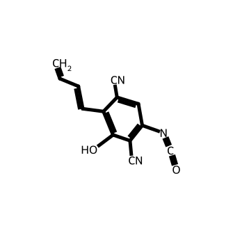 C=CC=Cc1c(C#N)cc(N=C=O)c(C#N)c1O